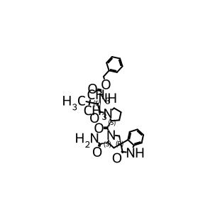 CC(C)(C)[C@H](NC(=O)OCc1ccccc1)C(=O)N1CCC[C@H]1C(=O)N1C[C@]2(C[C@H]1C(N)=O)C(=O)Nc1ccccc12